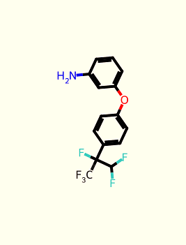 Nc1cccc(Oc2ccc(C(F)(C(F)F)C(F)(F)F)cc2)c1